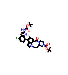 CC(C)(C)OC(=O)Nc1nc2c(-c3c(F)cc4c5c3ccn5CCC3CN(C(=O)OC(C)(C)C)CCN3C4=O)ccc(F)c2s1